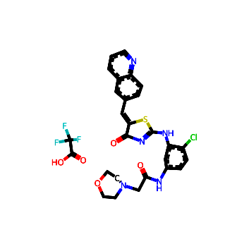 O=C(CN1CCOCC1)Nc1ccc(Cl)c(NC2=NC(=O)/C(=C/c3ccc4ncccc4c3)S2)c1.O=C(O)C(F)(F)F